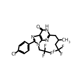 CC(Cc1nc2c(nc(-c3ccc(Cl)cc3)n2CC(F)(F)F)c(=O)[nH]1)CC(F)(F)F